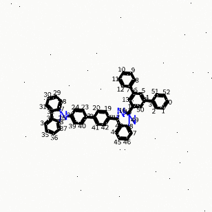 c1ccc(-c2cc(-c3ccccc3)cc(-c3nc(-c4ccc(-c5ccc(-n6c7ccccc7c7ccccc76)cc5)cc4)c4ccccc4n3)c2)cc1